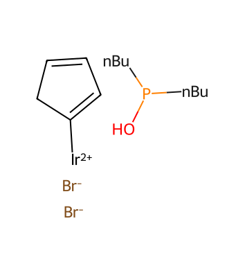 CCCCP(O)CCCC.[Br-].[Br-].[Ir+2][C]1=CC=CC1